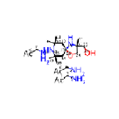 CC(=O)CN.CC(=O)CN.CC(=O)CN.CC1(C)CC2(CC(C)(C)N1)NC(C)(CO)CO2